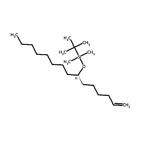 C=CCCCC[C@H](CCCCCCCC)O[Si](C)(C)C(C)(C)C